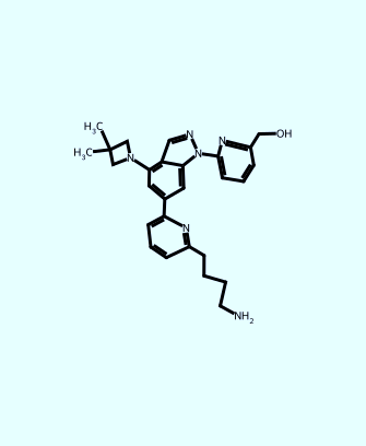 CC1(C)CN(c2cc(-c3cccc(CCCCN)n3)cc3c2cnn3-c2cccc(CO)n2)C1